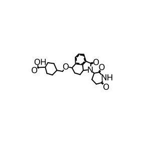 O=C1CCC(N2C(=O)c3cccc4c3C2CCC4OCC2CCC(C(=O)O)CC2)C(=O)N1